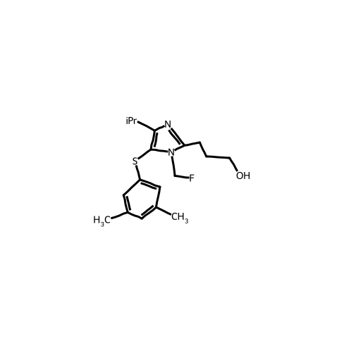 Cc1cc(C)cc(Sc2c(C(C)C)nc(CCCO)n2CF)c1